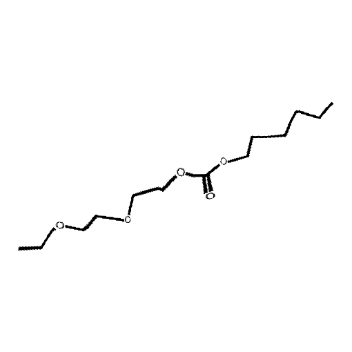 CCCCCCOC(=O)OCCOCCOCC